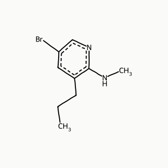 CCCc1cc(Br)cnc1NC